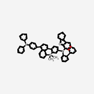 C[Si]1(C)c2cc(N(c3ccccc3-c3ccccc3)c3cccc4c3oc3ccccc34)ccc2-c2ccc(-c3ccc(N(c4ccccc4)c4ccccc4)cc3)c3cccc1c23